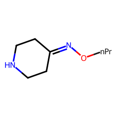 CCCON=C1CCNCC1